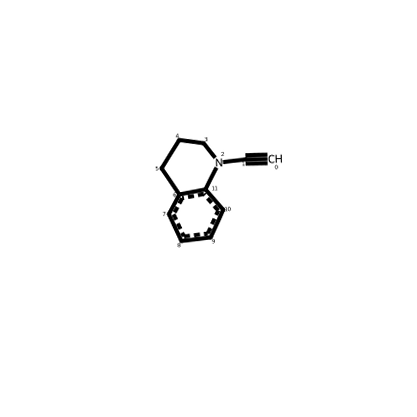 C#CN1CCCc2ccccc21